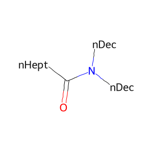 CCCCCCCCCCN(CCCCCCCCCC)C(=O)CCCCCCC